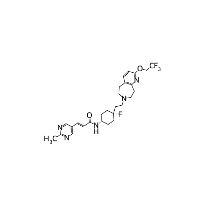 Cc1ncc(/C=C/C(=O)N[C@H]2CC[C@](F)(CCN3CCc4ccc(OCC(F)(F)F)nc4CC3)CC2)cn1